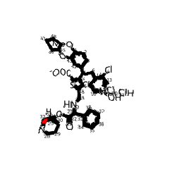 COc1ccc(C(Cc2c(Cl)c[n+](O)cc2Cl)c2cc(CNC(C(=O)O[C@H]3CN4CCC3CC4)c3ccccc3)sc2C(=O)[O-])cc1OC1CCCC1.Cl.Cl